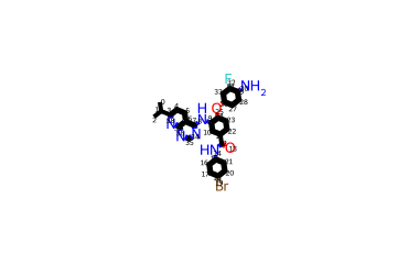 CC(C)c1ccc2c(Nc3cc(C(=O)Nc4ccc(Br)cc4)ccc3Oc3ccc(N)c(F)c3)ncnc2n1